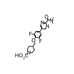 CN(C)C(=O)c1ncc(-c2cc(F)c(OCC3CCN(C(=O)O)CC3)c(F)c2)cn1